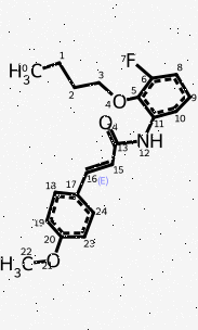 CCCCOc1c(F)cccc1NC(=O)/C=C/c1ccc(OC)cc1